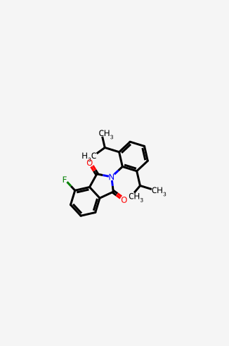 CC(C)c1cccc(C(C)C)c1N1C(=O)c2cccc(F)c2C1=O